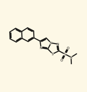 CN(C)S(=O)(=O)c1nn2cc(-c3ccc4ccccc4c3)nc2s1